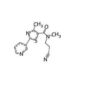 Cc1nc(-c2cccnc2)sc1C(=O)N(C)CCC#N